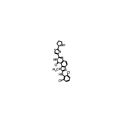 Cn1c(Nc2c(Cl)cccc2Cl)nc2ccc3nc(-c4csc(C5CCCN5)n4)[nH]c(=O)c3c21